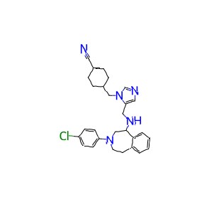 N#CC1CCC(Cn2cncc2CNC2CN(c3ccc(Cl)cc3)CCc3ccccc32)CC1